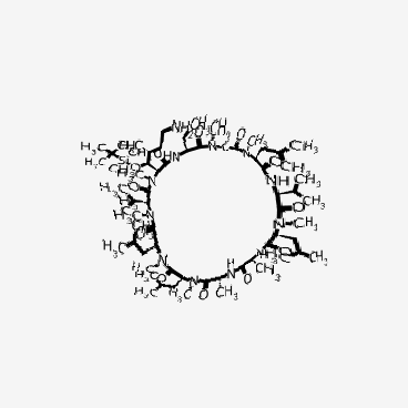 CC[C@@H]1NC(=O)[C@H](C(O[Si](C)(C)C(C)(C)C)[C@H](C)CCN)N(C)C(=O)[C@H](C(C)C)N(C)C(=O)[C@H](CC(C)C)N(C)C(=O)[C@H](CC(C)C)N(C)C(=O)[C@@H](C)NC(=O)[C@H](C)NC(=O)[C@H](CC(C)C)N(C)C(=O)[C@H](C(C)C)NC(=O)[C@H](CC(C)C)N(C)C(=O)CN(C)C1=O